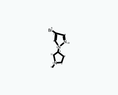 CN1CCC(n2cc(Br)cn2)C1